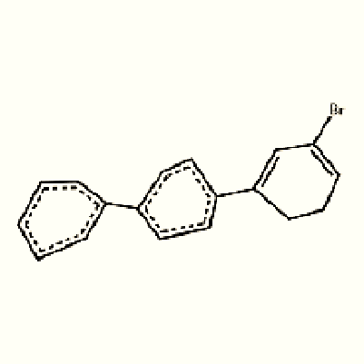 BrC1=CCCC(c2ccc(-c3ccccc3)cc2)=C1